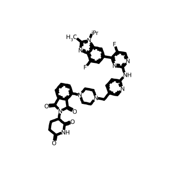 Cc1nc2c(F)cc(-c3nc(Nc4ccc(CN5CCN(c6cccc7c6C(=O)N(C6CCC(=O)NC6=O)C7=O)CC5)cn4)ncc3F)cc2n1C(C)C